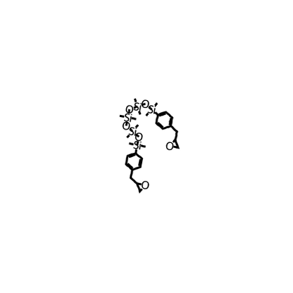 C[Si](C)(O[Si](C)(C)O[Si](C)(C)c1ccc(CC2CO2)cc1)O[Si](C)(C)O[Si](C)(C)c1ccc(CC2CO2)cc1